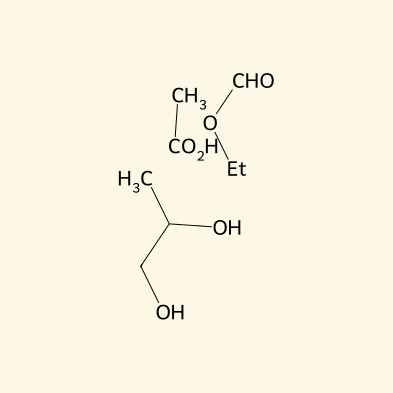 CC(=O)O.CC(O)CO.CCOC=O